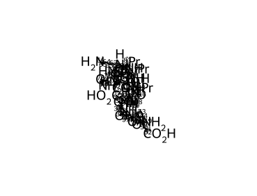 CC(C)C[C@H](NC(=O)[C@@H]1CCCN1C(=O)[C@@H](NC(=O)[C@@H]1CCCN1C(=O)[C@H](CCC(=O)O)NC(=O)[C@H](C)NC(=O)[C@H](C)NC(=O)[C@@H]1CCCN1C(=O)[C@@H](N)CCC(=O)O)C(C)C)C(=O)N[C@H](C(=O)N[C@@H](CCCCN)C(=O)N[C@@H](CCC(N)=O)C(=O)N[C@@H](CC(=O)O)C(=O)O)C(C)C